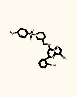 Bc1cnn2c(NCC3CCCN(S(=O)(=O)C4=CCC(B)C=C4)C3)cc(-c3ccccc3O)nc12